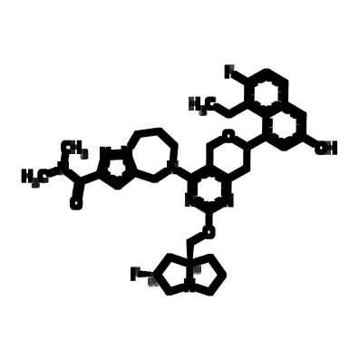 CCc1c(F)ccc2cc(O)cc(C3Cc4nc(OC[C@@]56CCCN5C[C@H](F)C6)nc(N5CCCn6nc(C(=O)N(C)C)cc6C5)c4CO3)c12